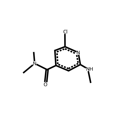 CNc1cc(C(=O)N(C)C)cc(Cl)n1